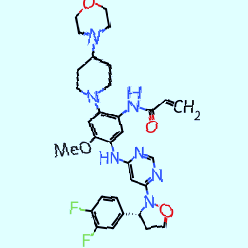 C=CC(=O)Nc1cc(Nc2cc(N3OCC[C@@H]3c3ccc(F)c(F)c3)ncn2)c(OC)cc1N1CCC(N2CCOCC2)CC1